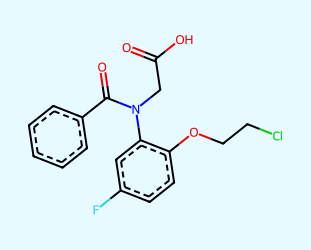 O=C(O)CN(C(=O)c1ccccc1)c1cc(F)ccc1OCCCl